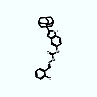 O=C(N/N=C/c1ccccc1Cl)Nc1ccc2[nH]c(C34CC5CC(CC(C5)C3)C4)cc2c1